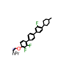 CCC/C=C\Oc1ccc(-c2ccc(-c3ccc(C4CCC(C)CC4)c(F)c3)cc2)c(F)c1F